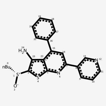 CCCC[S@@+]([O-])c1sc2nc(-c3cccnc3)cc(-c3ccccc3)c2c1N